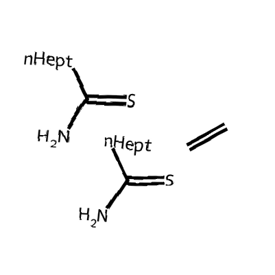 C=C.CCCCCCCC(N)=S.CCCCCCCC(N)=S